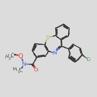 CON(C)C(=O)c1ccc2c(c1)N=C(c1ccc(Cl)cc1)c1ccccc1S2